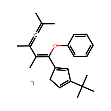 CC(C)=C=C(C)C(C)=C(Oc1ccccc1)C1=CC(C(C)(C)C)=CC1.[Ti]